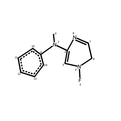 CN(C1=CN(F)CC=N1)c1ccccc1